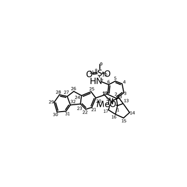 COC1(c2cccc(NS(C)(=O)=O)c2)C2CCC1CN(Cc1ccc3c(c1)Cc1ccccc1-3)C2